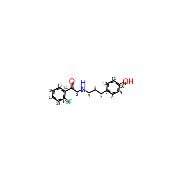 O=C(CNCCCc1ccc(O)cc1)c1ccccc1F